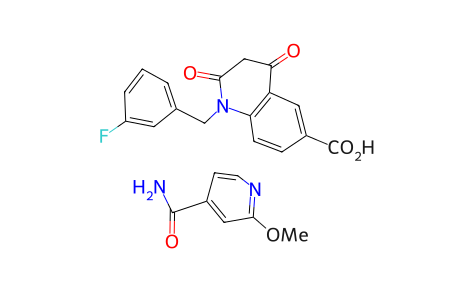 COc1cc(C(N)=O)ccn1.O=C(O)c1ccc2c(c1)C(=O)CC(=O)N2Cc1cccc(F)c1